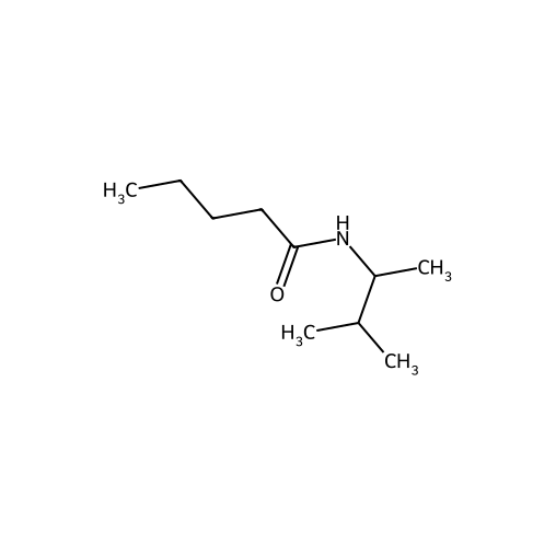 CCCCC(=O)NC(C)C(C)C